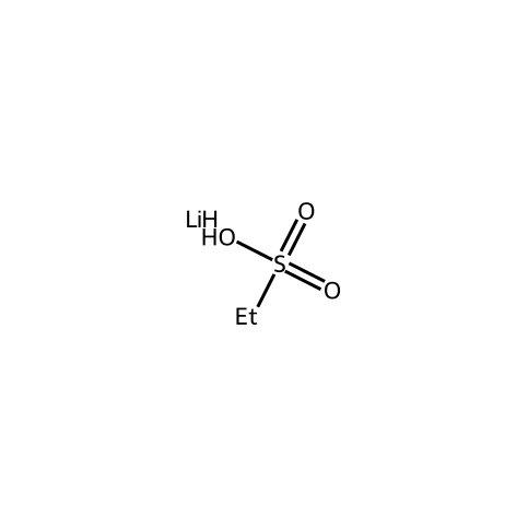 CCS(=O)(=O)O.[LiH]